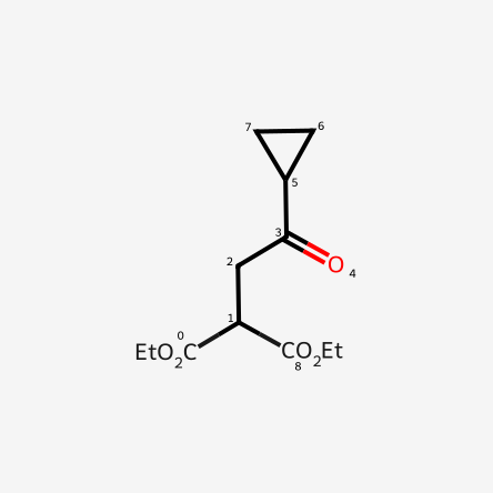 CCOC(=O)C(CC(=O)C1CC1)C(=O)OCC